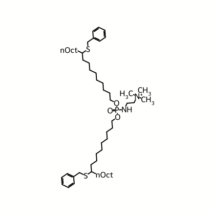 CCCCCCCCC(CCCCCCCCCOP(=O)(NCC[N+](C)(C)C)OCCCCCCCCCC(CCCCCCCC)SCc1ccccc1)SCc1ccccc1